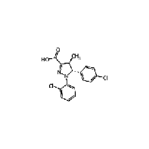 C[C@@H]1C(C(=O)O)=NN(c2ccccc2Cl)[C@H]1c1ccc(Cl)cc1